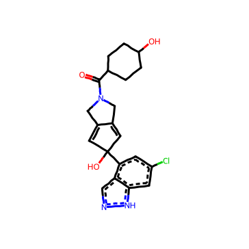 O=C(C1CCC(O)CC1)N1CC2=CC(O)(c3cc(Cl)cc4[nH]ncc34)C=C2C1